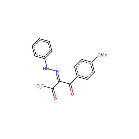 COc1ccc(C(=O)C(=NNc2ccccc2)C(=O)C(=O)O)cc1